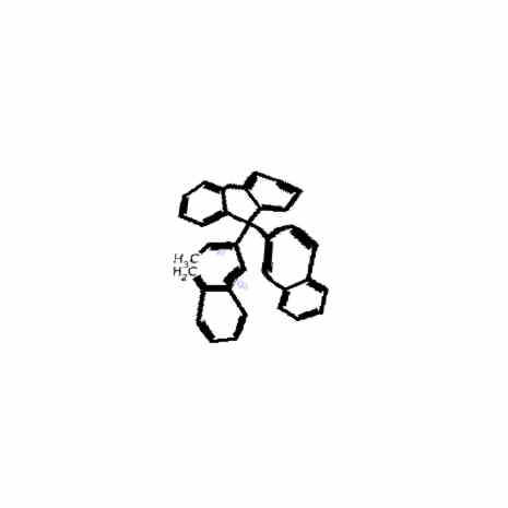 C=c1cccc/c1=C/C(=C\C)C1(c2ccc3ccccc3c2)c2ccccc2-c2ccccc21